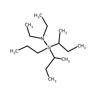 CCC[Si](C(C)CC)(C(C)CC)N(CC)CC